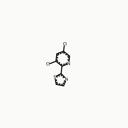 Clc1cnc(-c2n[c]cs2)c(Cl)c1